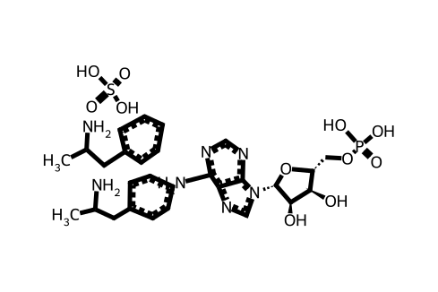 CC(N)Cc1ccccc1.CC(N)Cc1ccccc1.Nc1ncnc2c1ncn2[C@@H]1O[C@H](COP(=O)(O)O)[C@@H](O)[C@H]1O.O=S(=O)(O)O